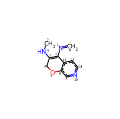 C=NC1=C(NC)COc2cnccc21